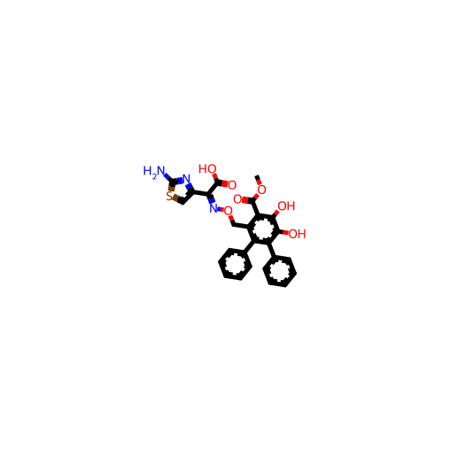 COC(=O)c1c(O)c(O)c(-c2ccccc2)c(-c2ccccc2)c1CO/N=C(\C(=O)O)c1csc(N)n1